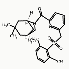 Cc1cccc(C)c1S(=O)(=O)Cc1cccc(C(=O)N2C[C@]3(C)C[C@H]2CC(C)(C)C3)n1